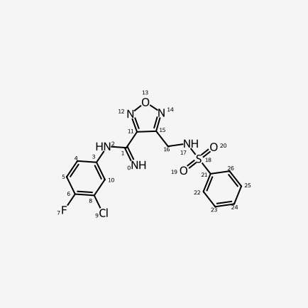 N=C(Nc1ccc(F)c(Cl)c1)c1nonc1CNS(=O)(=O)c1ccccc1